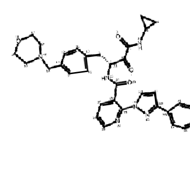 O=C(NC1CC1)C(=O)[C@@H](Cc1ccc(CN2CCOCC2)cc1)NC(=O)c1cccnc1-n1ccc(-c2ccccc2)n1